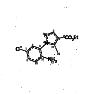 CCOC(=O)c1cnn(-c2cc(Cl)ccc2N)c1C